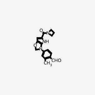 Cc1cc(N2COc3cc(C(=O)N4CCC4)[nH]c32)ccc1C=O